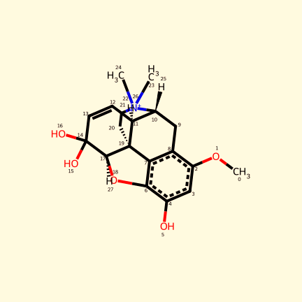 COc1cc(O)c2c3c1C[C@@H]1[C@@H]4C=CC(O)(O)[C@H](O2)[C@]34CC[N+]1(C)C